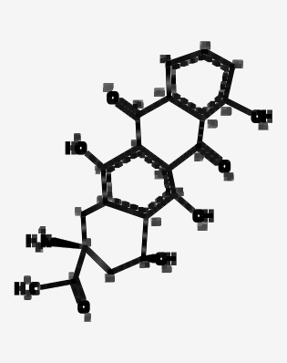 CC(=O)[C@]1(N)Cc2c(O)c3c(c(O)c2[C@@H](O)C1)C(=O)c1c(O)cccc1C3=O